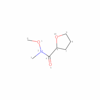 CON(C)C(=O)C1CCCO1